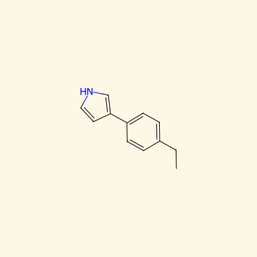 CCc1ccc(-c2cc[nH]c2)cc1